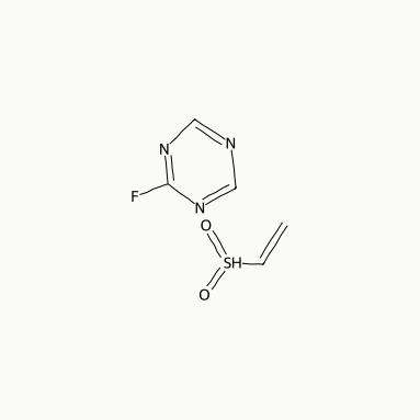 C=C[SH](=O)=O.Fc1ncncn1